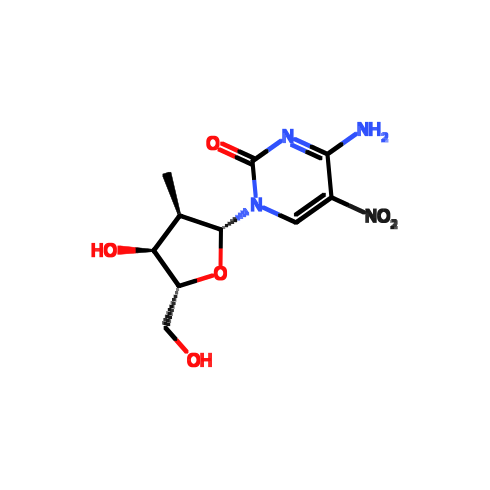 C[C@@H]1[C@H](O)[C@@H](CO)O[C@H]1n1cc([N+](=O)[O-])c(N)nc1=O